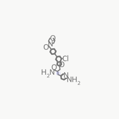 NC(=O)/C(=C/c1ccc(N)nc1)Cc1cc2cc(-c3ccc(C(=O)N4CCOCC4)cc3)cc(Cl)c2o1